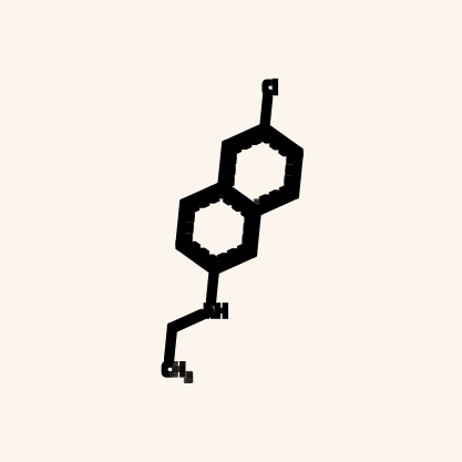 CCNc1ccc2cc(Cl)ccc2c1